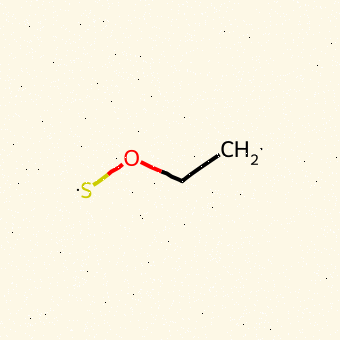 [CH2]CO[S]